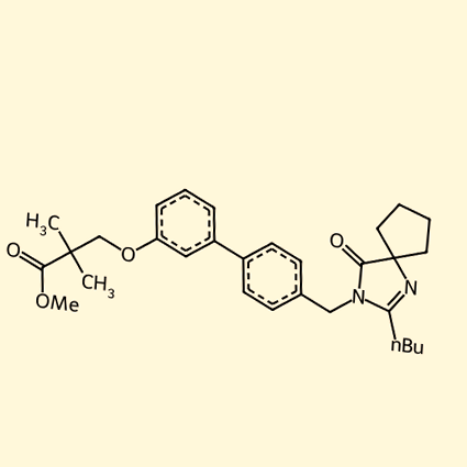 CCCCC1=NC2(CCCC2)C(=O)N1Cc1ccc(-c2cccc(OCC(C)(C)C(=O)OC)c2)cc1